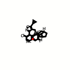 N#Cc1ccc(C2(O)[C@@H]3CC[C@H]2CC(OCc2c(-c4c(Cl)cccc4Cl)noc2C2CC2)C3)c(F)c1